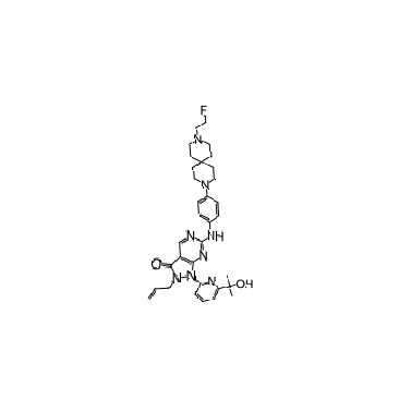 C=CCn1c(=O)c2cnc(Nc3ccc(N4CCC5(CCN(CCF)CC5)CC4)cc3)nc2n1-c1cccc(C(C)(C)O)n1